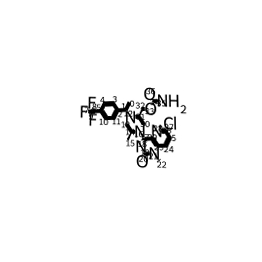 CC(c1ccc(C(F)(F)F)cc1)N1C[C@H](C)N(c2nc(=O)n(C)c3ccc(Cl)nc23)C[C@@H]1COC(N)=O